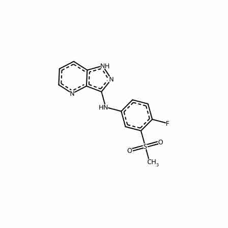 CS(=O)(=O)c1cc(Nc2n[nH]c3cccnc23)ccc1F